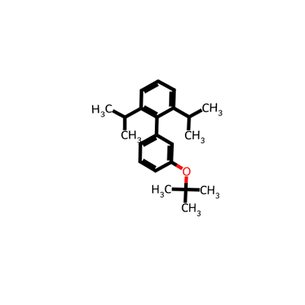 CC(C)c1cccc(C(C)C)c1-c1cccc(OC(C)(C)C)c1